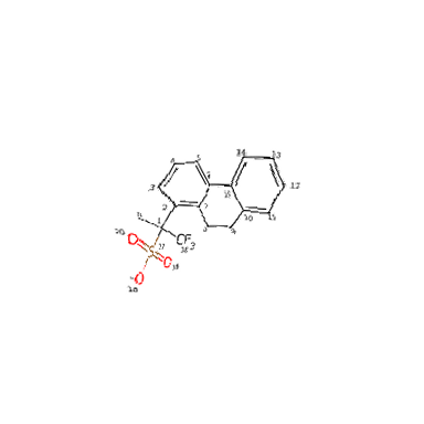 CC(c1cccc2c1CCc1ccccc1-2)(C(F)(F)F)S([O])(=O)=O